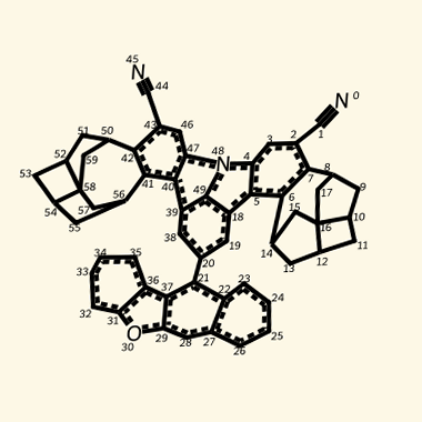 N#Cc1cc2c(c3c1C1CC4CC5CC3CC45C1)c1cc(-c3c4ccccc4cc4oc5ccccc5c34)cc3c4c5c(c(C#N)cc4n2c13)C1CC2CC3CC5CC23C1